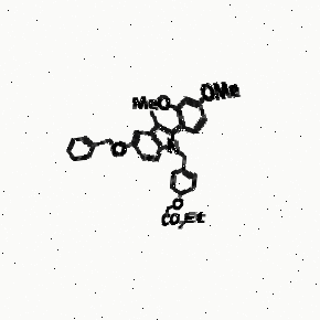 CCOC(=O)COc1ccc(Cn2c(-c3ccc(OC)cc3OC)c(C)c3cc(OCc4ccccc4)ccc32)cc1